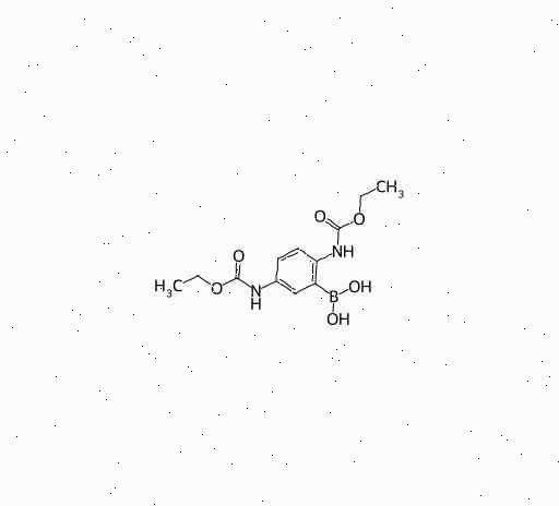 CCOC(=O)Nc1ccc(NC(=O)OCC)c(B(O)O)c1